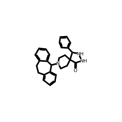 O=C1NNC(c2ccccc2)C12CCN(C1c3ccccc3CCc3ccccc31)CC2